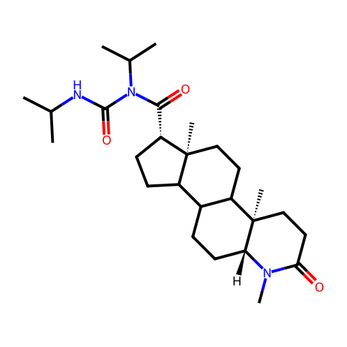 CC(C)NC(=O)N(C(=O)[C@H]1CCC2C3CC[C@H]4N(C)C(=O)CC[C@]4(C)C3CC[C@@]21C)C(C)C